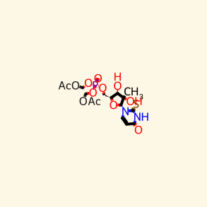 CC(=O)OCOP(=O)(OCOC(C)=O)OC[C@H]1O[C@@H](n2ccc(=O)[nH]c2=S)C(C)(O)[C@H]1O